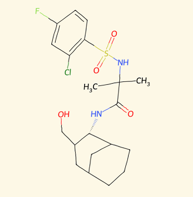 CC(C)(NS(=O)(=O)c1ccc(F)cc1Cl)C(=O)N[C@H]1C(CO)CC2CCCC1C2